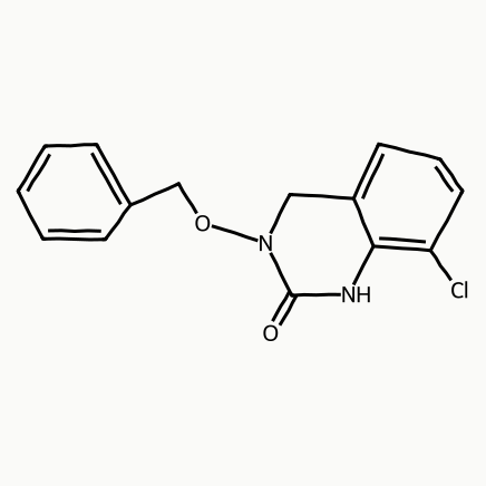 O=C1Nc2c(Cl)cccc2CN1OCc1ccccc1